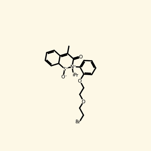 CC1=C2C=CC=CC2[S+]([O-])[N+](c2ccccc2OCCOCCBr)(C(C)C)C1=O